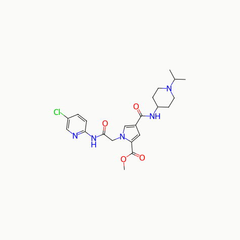 COC(=O)c1cc(C(=O)NC2CCN(C(C)C)CC2)cn1CC(=O)Nc1ccc(Cl)cn1